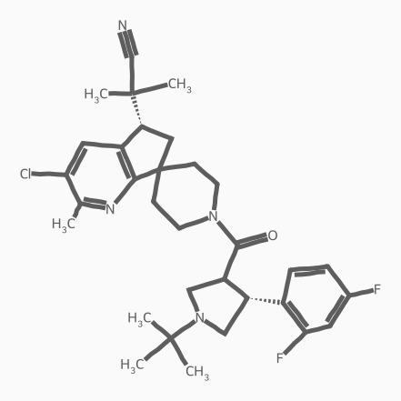 Cc1nc2c(cc1Cl)[C@H](C(C)(C)C#N)CC21CCN(C(=O)C2CN(C(C)(C)C)C[C@H]2c2ccc(F)cc2F)CC1